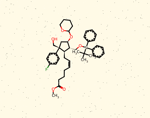 COC(=O)CCC/C=C\C[C@@H]1[C@@H](CO[Si](c2ccccc2)(c2ccccc2)C(C)(C)C)[C@H](OC2CCCCO2)C[C@@]1(CO)c1ccc(F)cc1